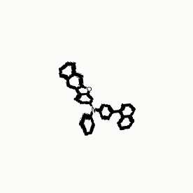 c1ccc(N(c2ccc(-c3cccc4ccccc34)cc2)c2ccc3c(c2)oc2cc4ccccc4cc23)cc1